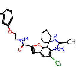 C=C1Nc2c(Cl)cc3cc(C(=O)NCCOc4ccccc4)oc3c2C2(CCCCC2)N1